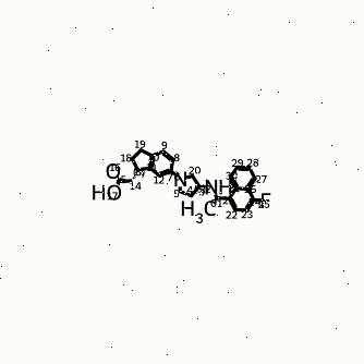 CC(N[C@H]1CCN(c2ccc3c(c2)[C@H](CC(=O)O)CC3)C1)c1ccc(F)c2ccccc12